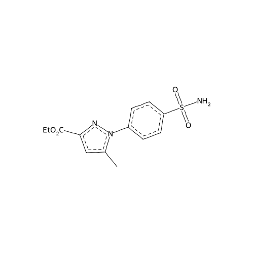 CCOC(=O)c1cc(C)n(-c2ccc(S(N)(=O)=O)cc2)n1